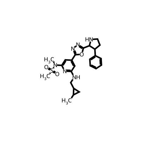 CC1CC1CNc1cc(-c2nnc(C3NCCC3c3ccccc3)o2)cc(N(C)S(C)(=O)=O)n1